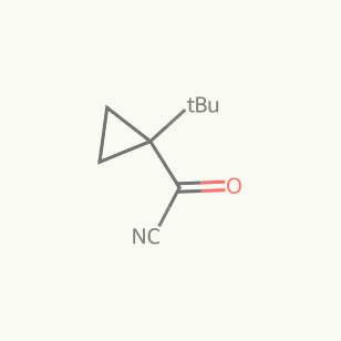 CC(C)(C)C1(C(=O)C#N)CC1